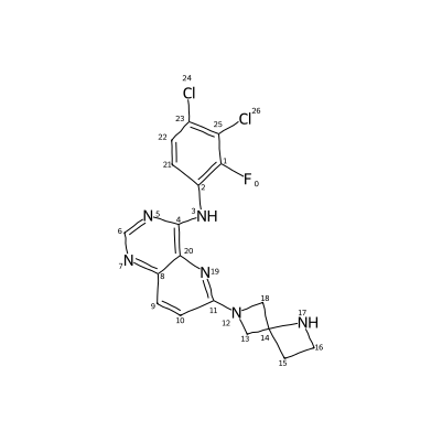 Fc1c(Nc2ncnc3ccc(N4CC5(CCN5)C4)nc23)ccc(Cl)c1Cl